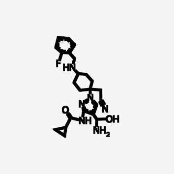 N#CCC1(n2cc(C(N)O)c(NC(=O)C3CC3)n2)CCC(NCc2ccccc2F)CC1